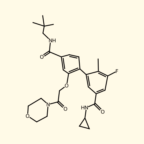 Cc1c(F)cc(C(=O)NC2CC2)cc1-c1ccc(C(=O)NCC(C)(C)C)cc1OCC(=O)N1CCOCC1